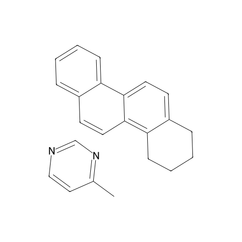 Cc1ccncn1.c1ccc2c(c1)ccc1c3c(ccc12)CCCC3